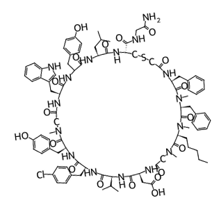 CCCCC[C@H]1C(=O)N(C)CC(=O)N[C@@H](CC(=O)O)C(=O)N[C@@H](C(C)C)C(=O)N[C@@H](Cc2ccc(Cl)cc2)C(=O)N[C@@H](Cc2ccc(O)cc2)C(=O)N(C)CC(=O)N[C@@H](Cc2c[nH]c3ccccc23)C(=O)NC(Cc2ccc(O)cc2)C(=O)N[C@@H](CC(C)C)C(=O)N[C@H](C(=O)NCC(N)=O)CSCC(=O)N[C@@H](Cc2ccccc2)C(=O)N(C)[C@@H](Cc2ccccc2)C(=O)N1C